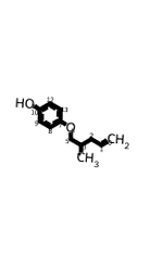 C=CCC(C)COc1ccc(O)cc1